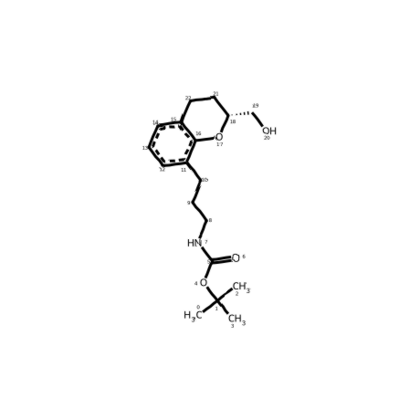 CC(C)(C)OC(=O)NCCCc1cccc2c1O[C@@H](CO)CC2